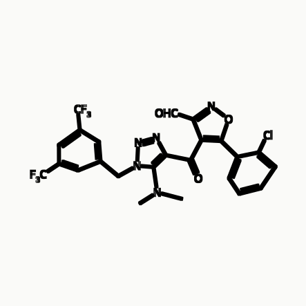 CN(C)c1c(C(=O)c2c(C=O)noc2-c2ccccc2Cl)nnn1Cc1cc(C(F)(F)F)cc(C(F)(F)F)c1